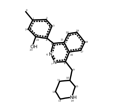 Cc1ccc(-c2nnc(CC3CCCNC3)c3ccccc23)c(O)c1